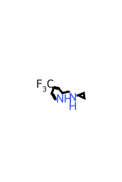 FC(F)(F)C1=CC(CNC2CC2)NC=C1